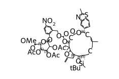 C=CC[C@H]1C(=O)C(C)(C)[C@@H](OC(=O)OCc2cc([N+](=O)[O-])ccc2O[C@@H]2O[C@H](C(=O)OC)[C@@H](OC(C)=O)[C@H](OC(C)=O)C2OC(C)=O)CC(=O)O[C@H](c2ccc3sc(C)nc3c2)CC=C(C)CCC[C@H](C)[C@@H]1O[Si](C)(C)C(C)(C)C